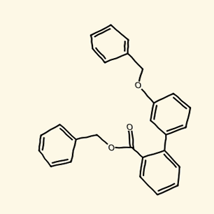 O=C(OCc1ccccc1)c1ccccc1-c1cccc(OCc2ccccc2)c1